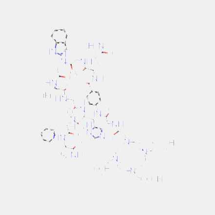 CC(C)C[C@H](NC(=O)[C@H](Cc1ccccc1)NC(=O)[C@H](Cc1cnc[nH]1)NC(=O)CNC(=O)[C@@H](NC(=O)[C@H](C)NC(=O)[C@H](Cc1c[nH]c2ccccc12)NC(=O)[C@H](CCC(N)=O)NC(=O)c1ccc(NC(=O)CNC(=O)CN2CCN(CC(=O)O)CCN(CC(=O)O)CCN(CC(=O)O)CC2)cc1)C(C)C)C(N)=O